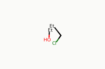 CCCCl.CCO